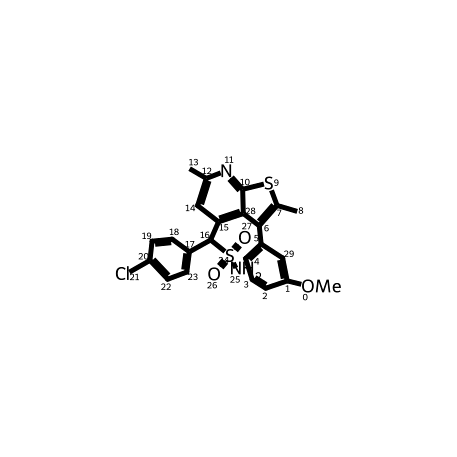 COc1cccc(-c2c(C)sc3nc(C)cc(C(c4ccc(Cl)cc4)S(N)(=O)=O)c23)c1